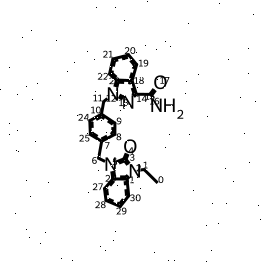 CCn1c(=O)n(Cc2ccc(Cn3nc(C(N)=O)c4ccccc43)cc2)c2ccccc21